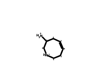 NC1CC=CCCNC1